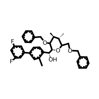 Cc1cc(-c2cc(F)cc(F)c2)ccc1[C@@H](O)[C@H]1OC(COCc2ccccc2)[C@@H](C)[C@H](C)C1OCc1ccccc1